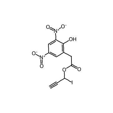 C#CC(I)OC(=O)Cc1cc([N+](=O)[O-])cc([N+](=O)[O-])c1O